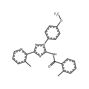 Cc1ccccc1C(=O)Nc1nc(-c2ncccc2C)nn1-c1ccc(OC(F)(F)F)cc1